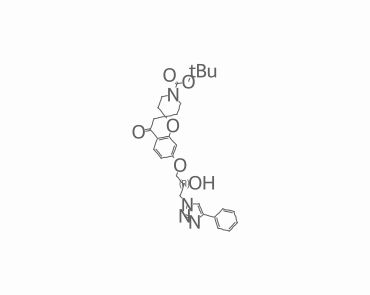 CC(C)(C)OC(=O)N1CCC2(CC1)CC(=O)c1ccc(OC[C@H](O)Cn3cc(-c4ccccc4)nn3)cc1O2